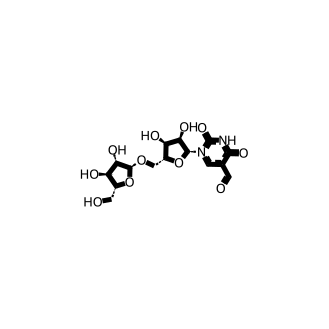 O=Cc1cn([C@@H]2O[C@H](CO[C@@H]3O[C@H](CO)[C@@H](O)[C@@H]3O)[C@@H](O)[C@H]2O)c(=O)[nH]c1=O